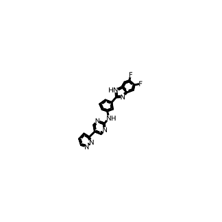 Fc1cc2nc(-c3cccc(Nc4ncc(-c5cccnn5)cn4)c3)[nH]c2cc1F